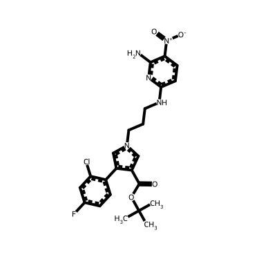 CC(C)(C)OC(=O)c1cn(CCCNc2ccc([N+](=O)[O-])c(N)n2)cc1-c1ccc(F)cc1Cl